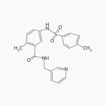 Cc1ccc(S(=O)(=O)Nc2ccc(C)c(C(=O)NCc3cccnc3)c2)cc1